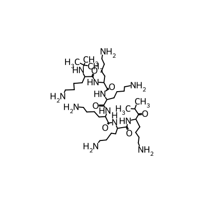 CC(C)C(=O)C(CCCCN)NC(=O)C(CCCCN)NC(=O)C(CCCCN)NC(=O)C(CCCCN)NC(=O)C(CCCCN)NC(=O)C(CCCCN)NC(C)(C)C